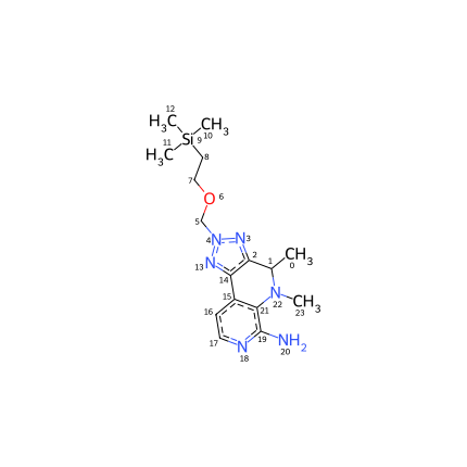 CC1c2nn(COCC[Si](C)(C)C)nc2-c2ccnc(N)c2N1C